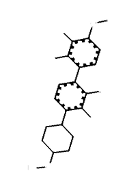 CCOc1ccc(-c2ccc(C3CCC(OCC)CC3)c(F)c2F)c(F)c1F